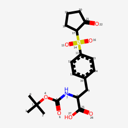 CC(C)(C)OC(=O)NC(Cc1ccc(S(=O)(=O)C2CCCC2=O)cc1)C(=O)O